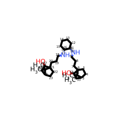 CC1(C)C2CCC1(CCCN[C@@H]1CCCC[C@H]1NCCCC13CCC(CC1O)C3(C)C)C(O)C2